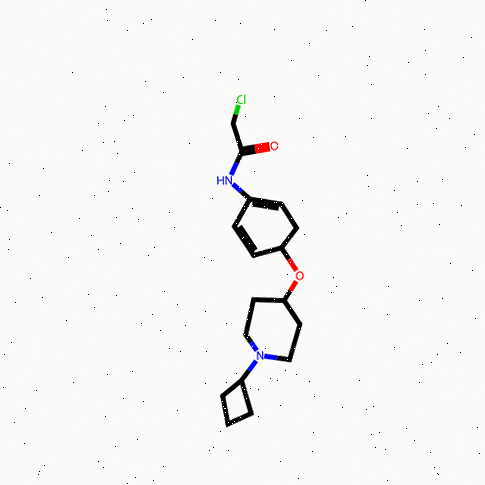 O=C(CCl)NC1=CCC(OC2CCN(C3CCC3)CC2)C=C1